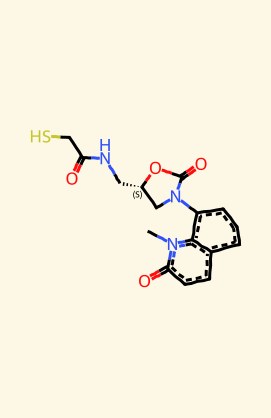 Cn1c(=O)ccc2cccc(N3C[C@H](CNC(=O)CS)OC3=O)c21